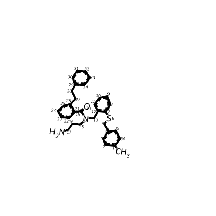 Cc1ccc(CSc2ccccc2CN(CCCN)C(=O)c2ccccc2CCc2ccccc2)cc1